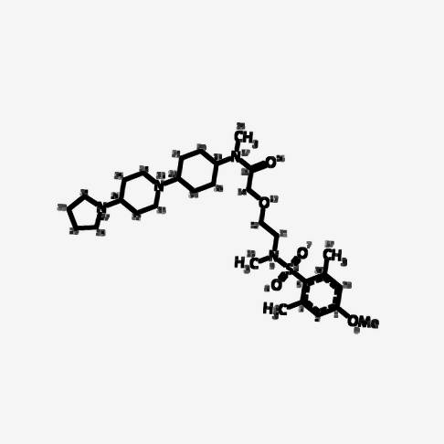 COc1cc(C)c(S(=O)(=O)N(C)CCOCC(=O)N(C)C2CCC(N3CCC(N4CCCC4)CC3)CC2)c(C)c1